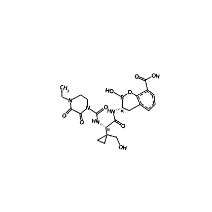 CCN1CCN(C(=O)N[C@H](C(=O)N[C@H]2Cc3cccc(C(=O)O)c3OB2O)C2(CO)CC2)C(=O)C1=O